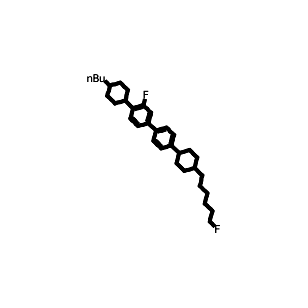 CCCCC1CCC(c2ccc(-c3ccc(C4CCC(CCCCCCF)CC4)cc3)cc2F)CC1